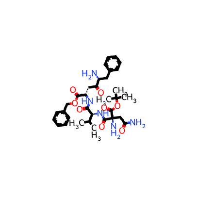 CC(C)[C@H](NC(=O)[C@@](N)(CC(N)=O)C(=O)OC(C)(C)C)C(=O)N[C@@H](CC(=O)[C@@H](N)Cc1ccccc1)C(=O)OCc1ccccc1